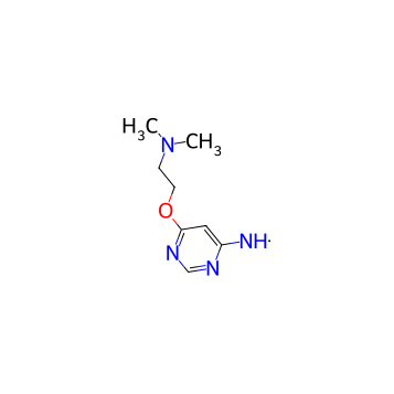 CN(C)CCOc1cc([NH])ncn1